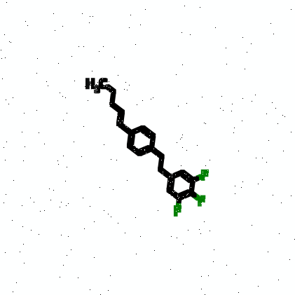 CCC/C=C/c1ccc(CCc2cc(F)c(F)c(F)c2)cc1